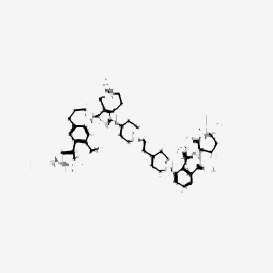 CC(=O)N1CCc2c(c(N3CCCc4cc(-c5cnn(C)c5)c(C(F)F)cc43)nn2C2CCN(CCC3CCN(c4cccc5c4C(=O)N(C4CCC(=O)NC4=O)C5=O)CC3)CC2)C1